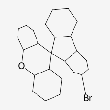 BrC1CCC2C3CCCCC3C3(C4CCCCC4OC4CCCCC43)C2C1